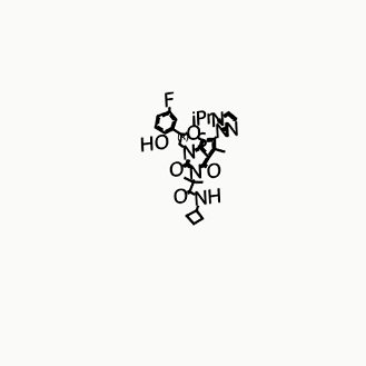 Cc1c(-n2nccn2)sc2c1c(=O)n(C(C)(C)C(=O)NC1CCC1)c(=O)n2C[C@H](OC(C)C)c1cc(F)ccc1O